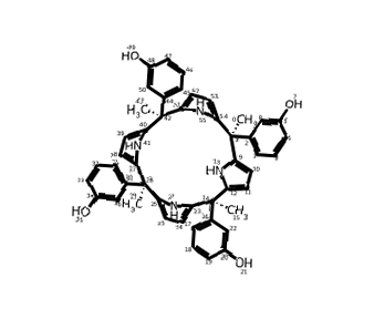 C[C@]1(c2cccc(O)c2)c2ccc([nH]2)[C@@](C)(c2cccc(O)c2)c2ccc([nH]2)[C@@](C)(c2cccc(O)c2)c2ccc([nH]2)[C@@](C)(c2cccc(O)c2)c2ccc1[nH]2